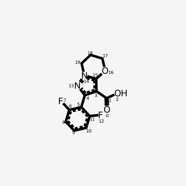 O=C(O)c1c(-c2c(F)cccc2F)nn2c1OCCC2